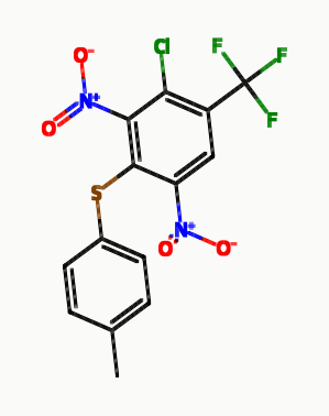 Cc1ccc(Sc2c([N+](=O)[O-])cc(C(F)(F)F)c(Cl)c2[N+](=O)[O-])cc1